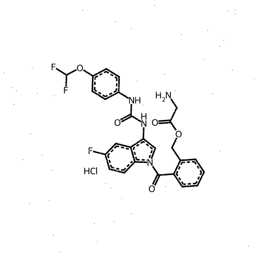 Cl.NCC(=O)OCc1ccccc1C(=O)n1cc(NC(=O)Nc2ccc(OC(F)F)cc2)c2cc(F)ccc21